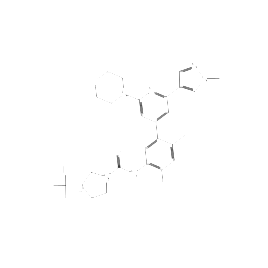 Cc1cc(F)c(NC(=O)N2CC[C@H](C(F)(F)F)C2)cc1-c1cc(-c2cnn(C)c2)nc(N2CCOCC2)c1